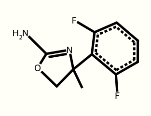 CC1(c2c(F)cccc2F)COC(N)=N1